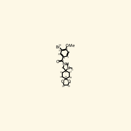 COc1ccc(C(=O)NCC2(N(C)C)CCC3(CC2)OCCO3)cc1Br